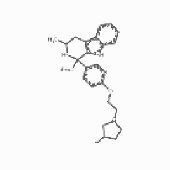 CCCCCC1(c2ccc(OCCN3CCC(F)C3)nc2)NC(C)Cc2c1[nH]c1ccccc21